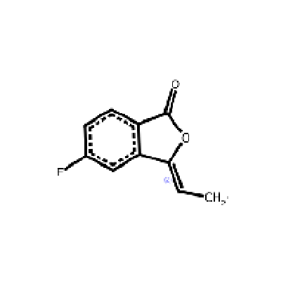 [CH2]/C=C1\OC(=O)c2ccc(F)cc21